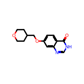 O=c1[nH]cnc2cc(OCC3CCOCC3)ccc12